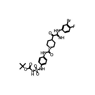 CC(C)(C)OC(=O)NS(=O)(=O)Nc1ccc(NC(=O)N2CCC(C(=O)C(=N)Nc3ccc(F)c(Br)c3)CC2)cc1